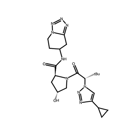 CC(C)(C)[C@@H](C(=O)N1C[C@H](O)C[C@H]1C(=O)NC1CCn2nnnc2C1)n1cc(C2CC2)nn1